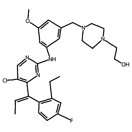 C/C=C(\c1ccc(F)cc1CC)c1nc(Nc2cc(CN3CCN(CCO)CC3)cc(OC)c2)ncc1Cl